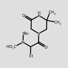 CCC(C(=O)N1CC(=O)NC(C)(C)C1)N(C(=O)O)C(C)(C)C